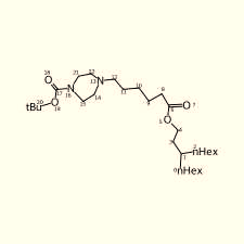 CCCCCCC(CCCCCC)CCOC(=O)CCCCCN1CCN(C(=O)OC(C)(C)C)CC1